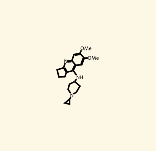 COc1cc2nc3c(c(NC4CCN(C5CC5)CC4)c2cc1OC)CCC3